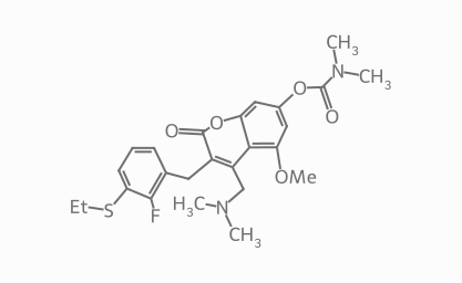 CCSc1cccc(Cc2c(CN(C)C)c3c(OC)cc(OC(=O)N(C)C)cc3oc2=O)c1F